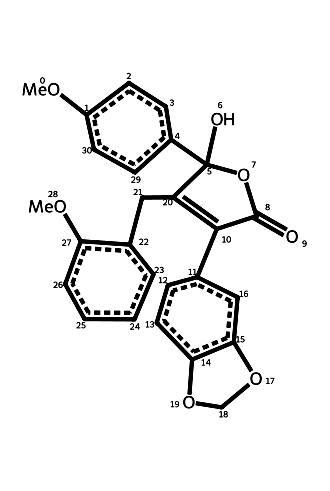 COc1ccc(C2(O)OC(=O)C(c3ccc4c(c3)OCO4)=C2Cc2ccccc2OC)cc1